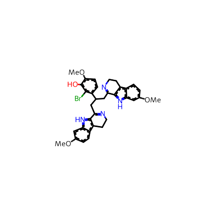 COc1ccc2c3c([nH]c2c1)C(CC(CC1=NCCc2c1[nH]c1cc(OC)ccc21)c1ccc(OC)c(O)c1Br)=NCC3